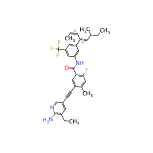 C/C=C\C(=C/C(C)CC)c1cc(NC(=O)c2cc(C#Cc3cnc(N)c(CC)c3)c(C)cc2F)cc(C(F)(F)F)c1